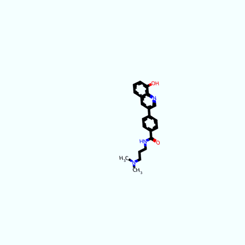 CN(C)CCCNC(=O)c1ccc(-c2cnc3c(O)cccc3c2)cc1